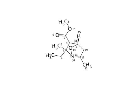 CCC1(C)C(C(=O)OC)[C@@H]2CC(C)[N@@]1O2